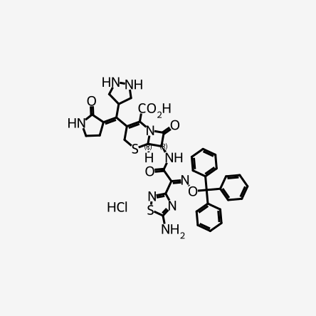 Cl.Nc1nc(C(=NOC(c2ccccc2)(c2ccccc2)c2ccccc2)C(=O)N[C@@H]2C(=O)N3C(C(=O)O)=C(C(=C4CCNC4=O)C4CNNC4)CS[C@H]23)ns1